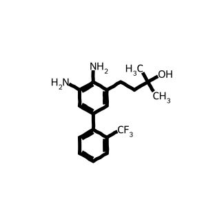 CC(C)(O)CCc1cc(-c2ccccc2C(F)(F)F)cc(N)c1N